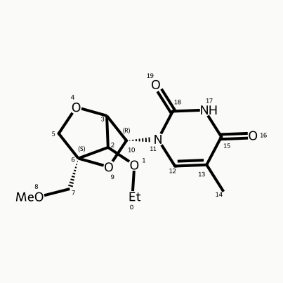 CCOC1C2OC[C@]1(COC)O[C@H]2n1cc(C)c(=O)[nH]c1=O